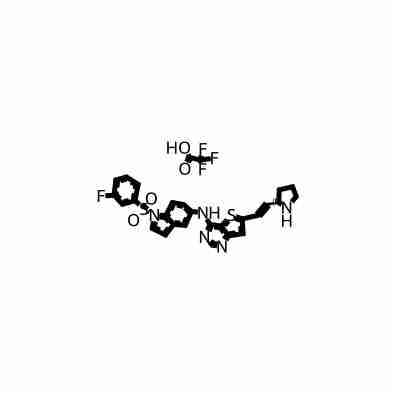 O=C(O)C(F)(F)F.O=S(=O)(c1cccc(F)c1)n1ccc2cc(Nc3ncnc4cc(C#C[C@H]5CCCN5)sc34)ccc21